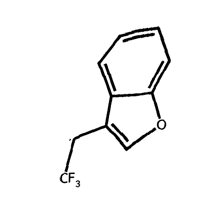 FC(F)(F)[CH]c1coc2ccccc12